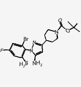 Bc1cc(F)cc(Br)c1-n1nc(C2CCN(C(=O)OC(C)(C)C)CC2)cc1N